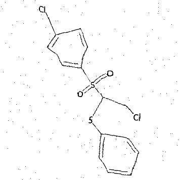 O=S(=O)(c1ccc(Cl)cc1)C(CCl)Sc1ccccc1